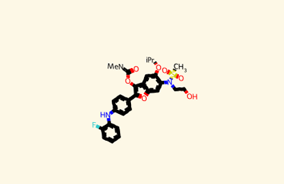 CNC(=O)Oc1c(-c2ccc(Nc3ccccc3F)cc2)oc2cc(N(CCO)S(C)(=O)=O)c(OC(C)C)cc12